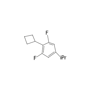 CC(C)c1cc(F)c(C2CCC2)c(F)c1